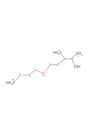 [CH2]C(OC(C)=O)C(CCOCCCS(=O)(=O)O)S(=O)(=O)O